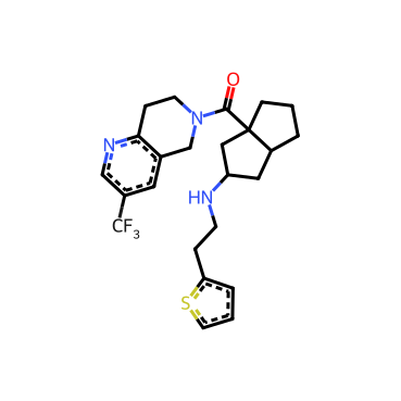 O=C(N1CCc2ncc(C(F)(F)F)cc2C1)C12CCCC1CC(NCCc1cccs1)C2